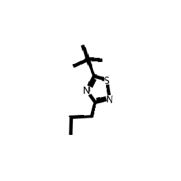 CCCc1nsc(C(C)(C)C)n1